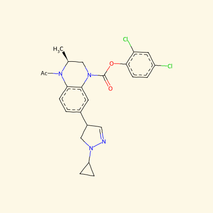 CC(=O)N1c2ccc(C3C=NN(C4CC4)C3)cc2N(C(=O)Oc2ccc(Cl)cc2Cl)C[C@@H]1C